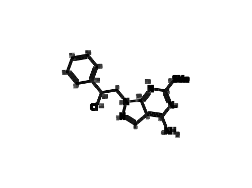 CSc1nc(N)c2cnn(CC(Cl)c3ccccc3)c2n1